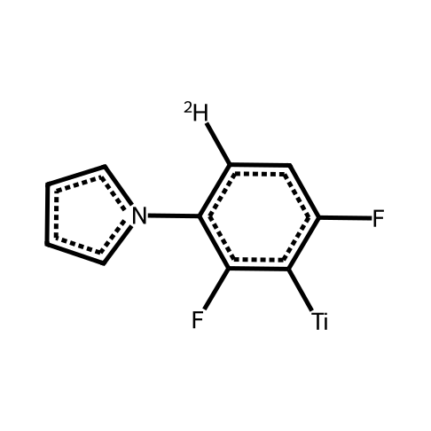 [2H]c1cc(F)[c]([Ti])c(F)c1-n1cccc1